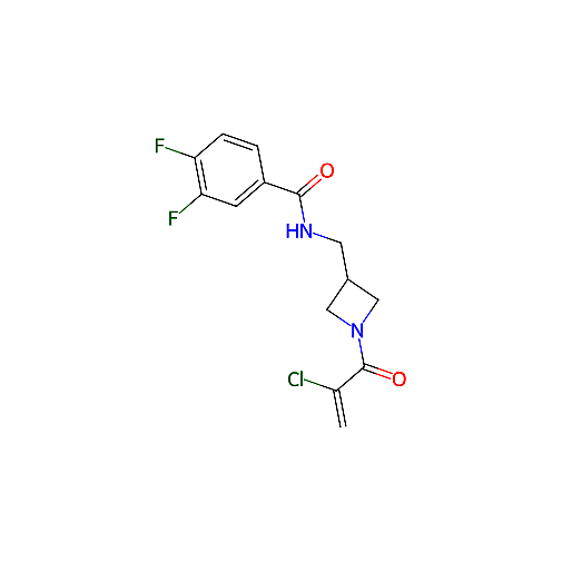 C=C(Cl)C(=O)N1CC(CNC(=O)c2ccc(F)c(F)c2)C1